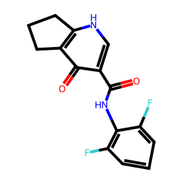 O=C(Nc1c(F)cccc1F)c1c[nH]c2c(c1=O)CCC2